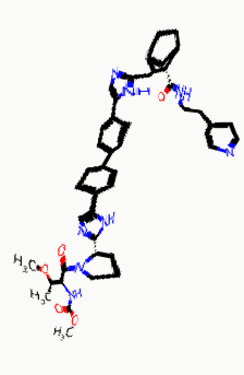 COC(=O)N[C@H](C(=O)N1CCC[C@H]1c1ncc(-c2ccc(-c3ccc(-c4cnc(C5C6CCC(C6)[C@@H]5C(=O)NCCc5ccncc5)[nH]4)cc3)cc2)[nH]1)[C@@H](C)OC